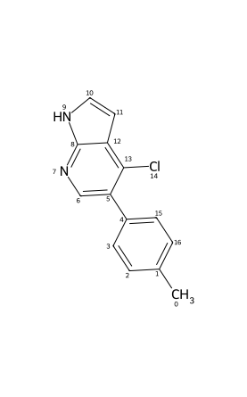 Cc1ccc(-c2cnc3[nH]ccc3c2Cl)cc1